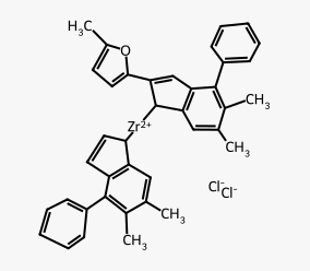 Cc1ccc(C2=Cc3c(cc(C)c(C)c3-c3ccccc3)[CH]2[Zr+2][CH]2C=Cc3c2cc(C)c(C)c3-c2ccccc2)o1.[Cl-].[Cl-]